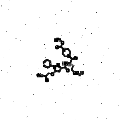 CCCOC(=O)N1CCN(C(=O)[C@H](CCC(=O)O)NC(=O)c2cc(OCC(=O)C(C)(C)C)n(-c3ccccc3)n2)CC1